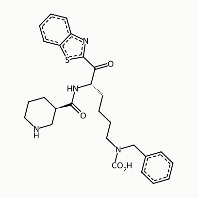 O=C(N[C@@H](CCCCN(Cc1ccccc1)C(=O)O)C(=O)c1nc2ccccc2s1)[C@@H]1CCCNC1